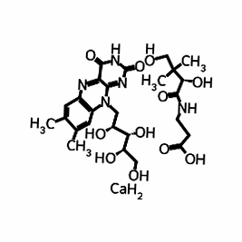 CC(C)(CO)[C@@H](O)C(=O)NCCC(=O)O.Cc1cc2nc3c(=O)[nH]c(=O)nc-3n(C[C@H](O)[C@H](O)[C@H](O)CO)c2cc1C.[CaH2]